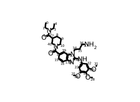 CCN(CC)C(=O)C1CCCN(C(=O)c2ccc3nc(Nc4cc(OC)c(OC)c(OC)c4)n(CCCN)c3c2)C1